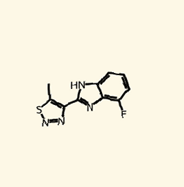 Cc1snnc1-c1nc2c(F)cccc2[nH]1